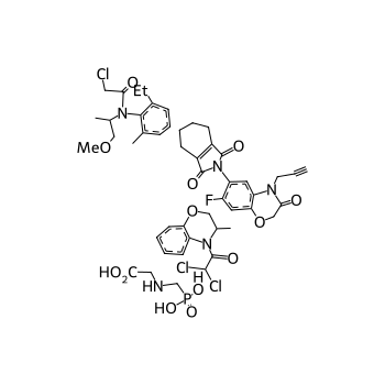 C#CCN1C(=O)COc2cc(F)c(N3C(=O)C4=C(CCCC4)C3=O)cc21.CC1COc2ccccc2N1C(=O)C(Cl)Cl.CCc1cccc(C)c1N(C(=O)CCl)C(C)COC.O=C(O)CNCP(=O)(O)O